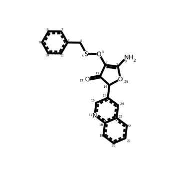 NC1=C(OSCc2ccccc2)C(=O)C(c2cnc3ccccc3c2)O1